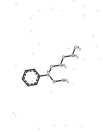 C[SiH2]O[SiH2]O[SiH](O[SiH3])c1ccccc1